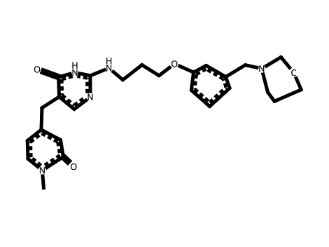 Cn1ccc(Cc2cnc(NCCCOc3cccc(CN4CCCCC4)c3)[nH]c2=O)cc1=O